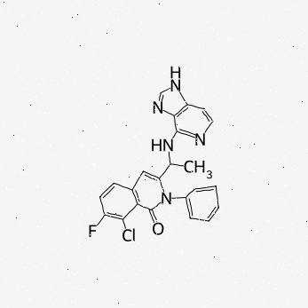 CC(Nc1nccc2[nH]cnc12)c1cc2ccc(F)c(Cl)c2c(=O)n1-c1ccccc1